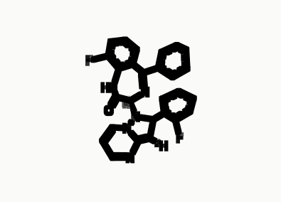 [2H]C1=C2N=CC=CN2N([C@@H]2N=C(c3ccccc3)c3cccc(F)c3NC2=O)C1c1ccccc1F